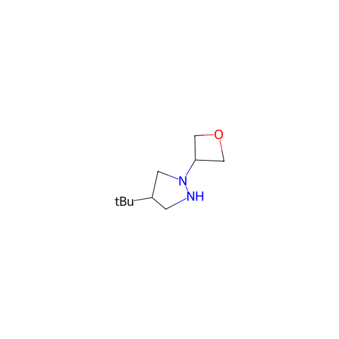 CC(C)(C)C1CNN(C2COC2)C1